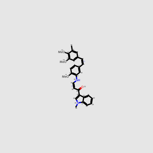 COc1ccc(/C=C\c2cc(C)c(OC)c(OC)c2)cc1N/C=C\C(=O)c1cn(C)c2ccccc12